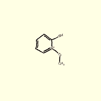 CO[n+]1ccccc1S